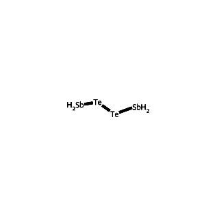 [SbH2][Te][Te][SbH2]